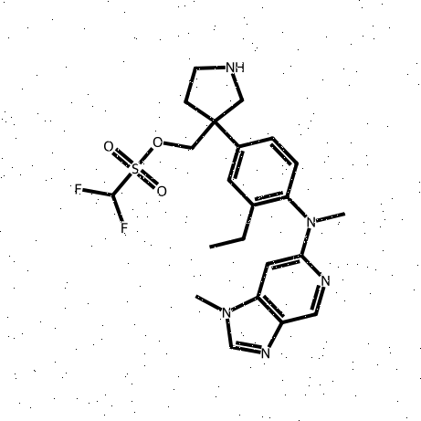 CCc1cc(C2(COS(=O)(=O)C(F)F)CCNC2)ccc1N(C)c1cc2c(cn1)ncn2C